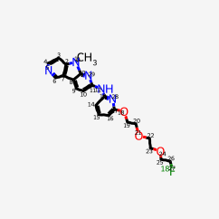 Cn1c2ccncc2c2ccc(Nc3cccc(OCCOCCOCC[18F])n3)nc21